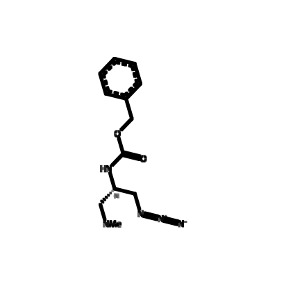 CNC[C@@H](CN=[N+]=[N-])NC(=O)OCc1ccccc1